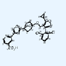 O=C(O)c1ccnc(-c2noc(C34CCC(OCc5c(-c6c(Cl)cccc6Cl)noc5C5CC5)(CC3)CC4)n2)c1